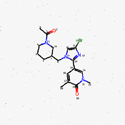 CC(=O)N1CCCC(Cn2cc(Br)nc2-c2cc(C)c(=O)n(C)c2)C1